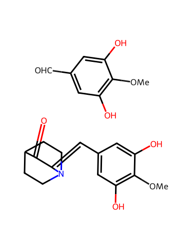 COc1c(O)cc(C=C2C(=O)C3CCN2CC3)cc1O.COc1c(O)cc(C=O)cc1O